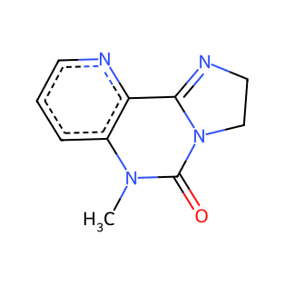 CN1C(=O)N2CCN=C2c2ncccc21